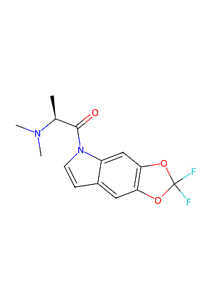 C[C@@H](C(=O)n1ccc2cc3c(cc21)OC(F)(F)O3)N(C)C